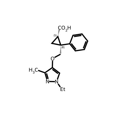 CCn1cc(OC[C@]2(c3ccccc3)C[C@@H]2C(=O)O)c(C)n1